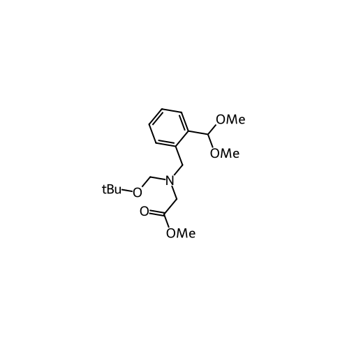 COC(=O)CN(COC(C)(C)C)Cc1ccccc1C(OC)OC